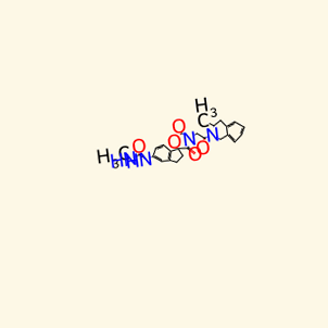 CNC(=O)Nc1ccc2c(c1)CCC21OC(=O)N(CC(=O)N2Cc3ccccc3CC2C)C1=O